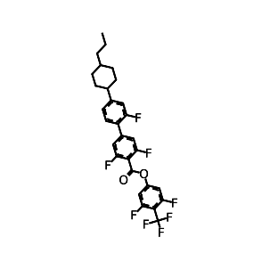 CCCC1CCC(c2ccc(-c3cc(F)c(C(=O)Oc4cc(F)c(C(F)(F)F)c(F)c4)c(F)c3)c(F)c2)CC1